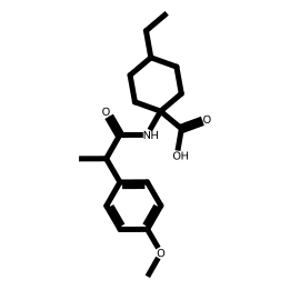 CCC1CCC(NC(=O)C(C)c2ccc(OC)cc2)(C(=O)O)CC1